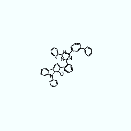 c1ccc(-c2cccc(-c3nc(-c4ccccn4)nc(-c4cccc5oc6c(ccc7c8ccccc8n(-c8ccccc8)c76)c45)n3)c2)cc1